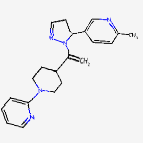 C=C(C1CCN(c2ccccn2)CC1)N1N=CCC1c1ccc(C)nc1